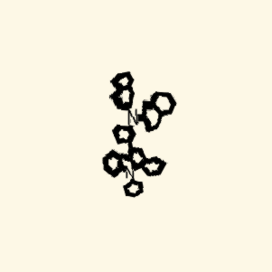 C1=C2CCCCC2CC=C1N(c1cccc(-c2cc3ccccc3c3c2c2ccccc2n3-c2ccccc2)c1)c1ccc2ccccc2c1